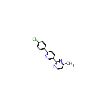 Cc1ccnc(-c2ccc(-c3ccc(Cl)cc3)nc2)n1